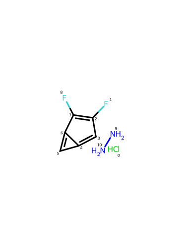 Cl.Fc1cc2cc-2c1F.NN